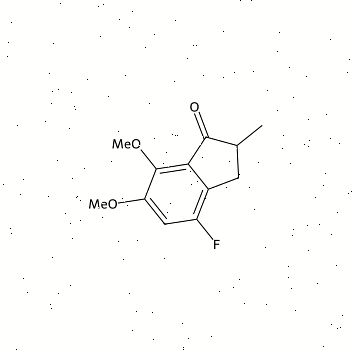 COc1cc(F)c2c(c1OC)C(=O)C(C)C2